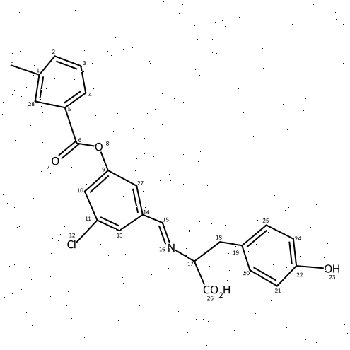 Cc1cccc(C(=O)Oc2cc(Cl)cc(C=NC(Cc3ccc(O)cc3)C(=O)O)c2)c1